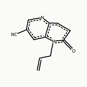 C=CCn1c(=O)ccc2ncc(C#N)cc21